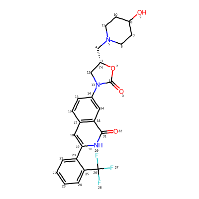 O=C1O[C@@H](CN2CCC(O)CC2)CN1c1ccc2cc(-c3ccccc3C(F)(F)F)[nH]c(=O)c2c1